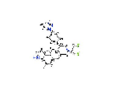 Cc1cc(C)c2[nH]ccc2c1CC1CCN(C(CF)CF)CC1c1ccc(-n2cccn2)cc1